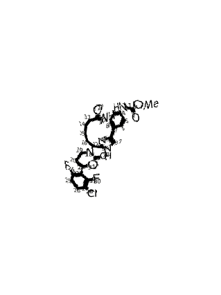 COC(=O)Nc1ccc2c(c1)NC(=O)CCCC[C@H](N1CC[C@H](c3c(F)ccc(Cl)c3F)OC1=O)c1nc-2c[nH]1